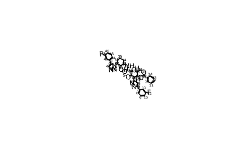 CO[C@@H]1[C@@H](n2cc(-c3cccc(F)c3)nn2)[C@H]2O[C@@H](c3ccccc3)OC[C@H]2O[C@H]1C(=O)N[C@@H]1CCC[C@H](n2nncc2-c2cccc(F)c2)[C@H]1O